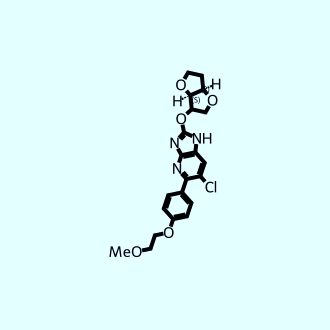 COCCOc1ccc(-c2nc3nc(OC4CO[C@@H]5CCO[C@H]45)[nH]c3cc2Cl)cc1